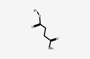 [CH2]C([CH2])OC(=O)CCC(=O)CCCC